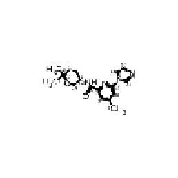 Cc1cc(C(=O)N[C@H]2CCC(C)(C)OC2)nc(-n2ccnc2)c1